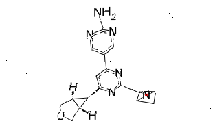 Nc1ncc(-c2cc([C@H]3[C@@H]4COC[C@@H]43)nc(N3CC4CC3C4)n2)cn1